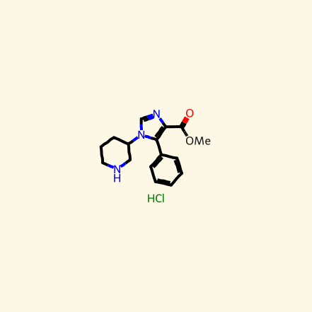 COC(=O)c1ncn(C2CCCNC2)c1-c1ccccc1.Cl